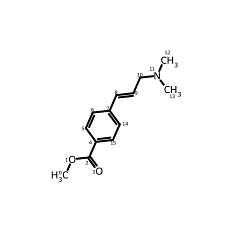 COC(=O)c1ccc(C=CCN(C)C)cc1